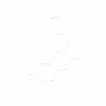 CC1Cc2c(Cl)nc(Cl)nc2CN1Cc1ccccc1